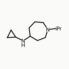 CC(C)N1CCCC(NC2CC2)CC1